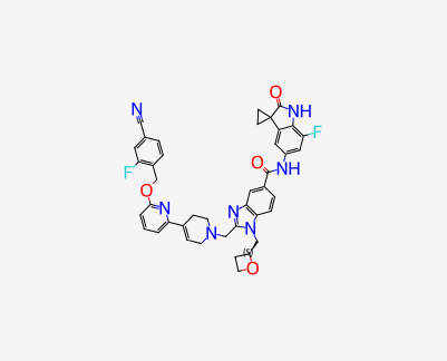 N#Cc1ccc(COc2cccc(C3=CCN(Cc4nc5cc(C(=O)Nc6cc(F)c7c(c6)C6(CC6)C(=O)N7)ccc5n4C[C@@H]4CCO4)CC3)n2)c(F)c1